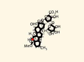 COC(=O)[C@]12CC[C@H](C)C[C@H]1C1=CCC3[C@@]4(C)CC[C@H](O[C@H]5C[C@@H](O[C@@H]6OC[C@@H](O)[C@H](O)[C@H]6O)[C@H](O)[C@@H](C(=O)O)O5)[C@@](C)(C=O)C4CC[C@@]3(C)[C@]1(C)C[C@H]2O